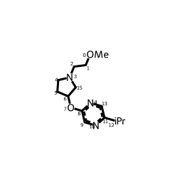 COCCN1CCC(Oc2cnc(C(C)C)cn2)C1